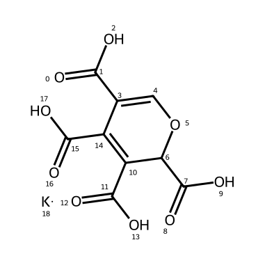 O=C(O)C1=COC(C(=O)O)C(C(=O)O)=C1C(=O)O.[K]